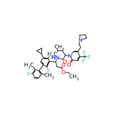 CCOC(=O)CC(NC(=O)C(CC(C)C)n1cc(CCN2CCC2)c(C(F)(F)F)cc1=O)c1c(F)c(-c2c(C)ccc(F)c2C)cc(C2CC2)c1F